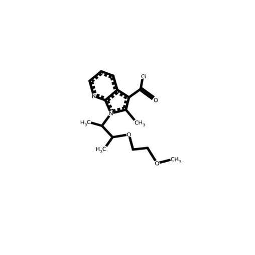 COCCOC(C)C(C)n1c(C)c(C(=O)Cl)c2cccnc21